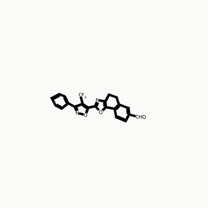 O=Cc1ccc2c(c1)CCc1nc(-c3onc(-c4ccccc4)c3C(F)(F)F)oc1-2